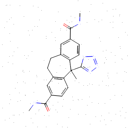 CNC(=O)c1ccc2c(c1)CCc1cc(C(=O)NC)ccc1C2(C)c1nnn[nH]1